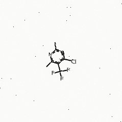 Cc1cc(Cl)c(C(F)(F)F)c(C)n1